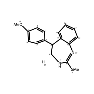 COc1ccc(C2CNC(SC)=Nc3ccccc32)cc1.I